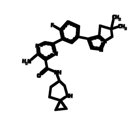 CC1(C)Cc2c(-c3ccc(F)c(-c4cnc(N)c(C(=O)NC5CCC6(CC6)NC5)n4)c3)cnn2C1